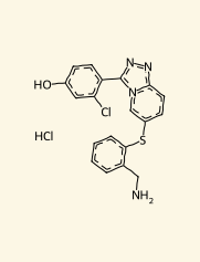 Cl.NCc1ccccc1Sc1ccc2nnc(-c3ccc(O)cc3Cl)n2c1